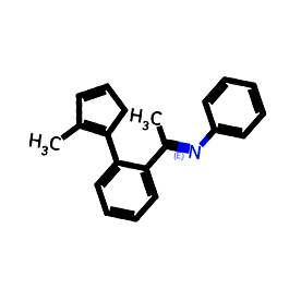 CC1=C(c2ccccc2/C(C)=N/c2ccccc2)CC=C1